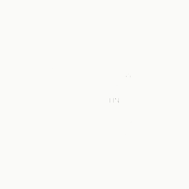 O=C(NCC1CC1)C1COc2ccccc2C1